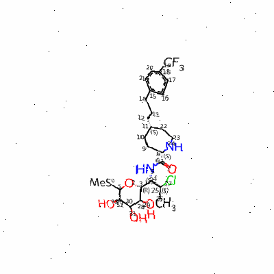 CSC1O[C@H]([C@H](NC(=O)[C@@H]2CC[C@H](CCCc3ccc(C(F)(F)F)cc3)CCN2)[C@H](C)Cl)C(O)C(O)[C@H]1O